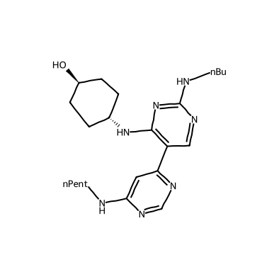 CCCCCNc1cc(-c2cnc(NCCCC)nc2N[C@H]2CC[C@H](O)CC2)ncn1